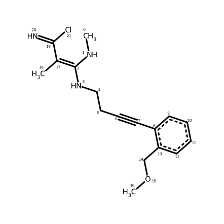 CN/C(NCCC#Cc1ccccc1COC)=C(/C)C(=N)Cl